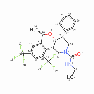 CCNC(=O)N1CC[C@H](O[C@H](C)c2cc(C(F)(F)F)cc(C(F)(F)F)c2)[C@H](c2ccccc2)C1